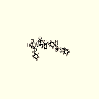 Cc1cn(C[C@H](NC(=O)OCc2ccccc2)C(=O)O)c(=O)nc1NCc1ccc(NC(=O)NCc2ccccc2)cc1